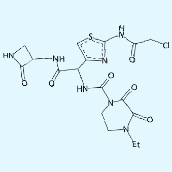 CCN1CCN(C(=O)NC(C(=O)NC2CNC2=O)c2csc(NC(=O)CCl)n2)C(=O)C1=O